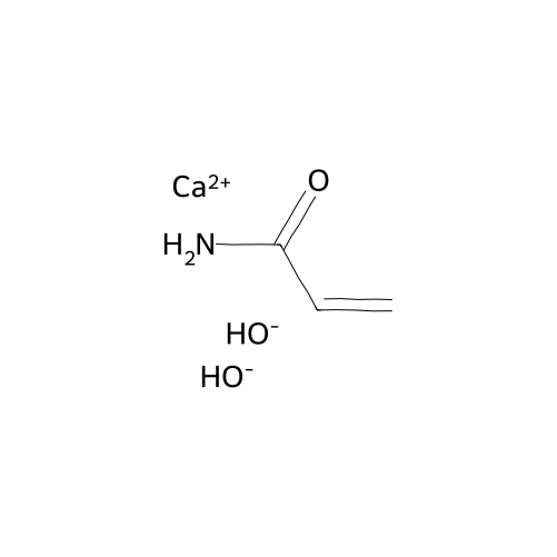 C=CC(N)=O.[Ca+2].[OH-].[OH-]